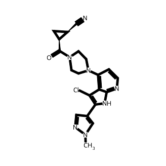 Cn1cc(-c2[nH]c3nccc(N4CCN(C(=O)[C@H]5C[C@H]5C#N)CC4)c3c2Cl)cn1